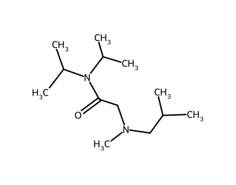 CC(C)CN(C)CC(=O)N(C(C)C)C(C)C